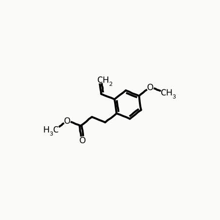 C=Cc1cc(OC)ccc1CCC(=O)OC